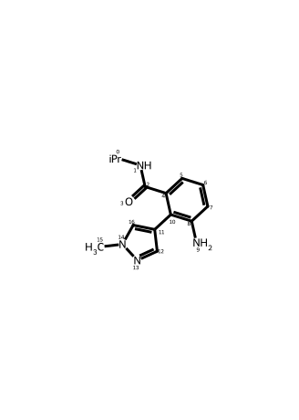 CC(C)NC(=O)c1cccc(N)c1-c1cnn(C)c1